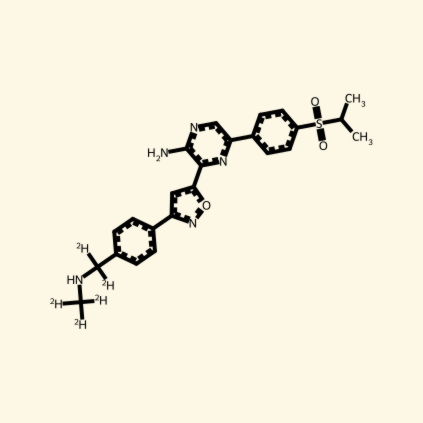 [2H]C([2H])([2H])NC([2H])([2H])c1ccc(-c2cc(-c3nc(-c4ccc(S(=O)(=O)C(C)C)cc4)cnc3N)on2)cc1